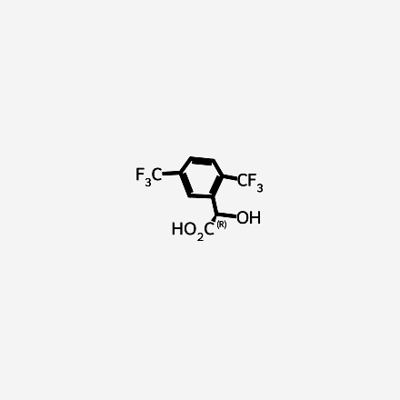 O=C(O)[C@H](O)c1cc(C(F)(F)F)ccc1C(F)(F)F